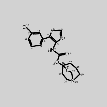 O=C(Nc1ncsc1-c1cccc(Cl)c1)OC12CCCN(CC1)CC2